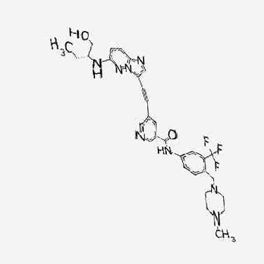 CC[C@H](CO)Nc1ccc2ncc(C#Cc3cncc(C(=O)Nc4ccc(CN5CCN(C)CC5)c(C(F)(F)F)c4)c3)n2n1